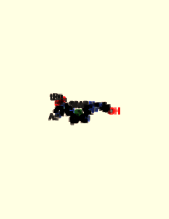 COc1nc(-c2cccc(-c3ccnc(-c4cc(OC)c5nc(CN6CC7(CC(O)C7)C6)nn5c4)c3Cl)c2Cl)ccc1CN(C(=O)OC(C)(C)C)C1CCN(C(C)=O)CC1